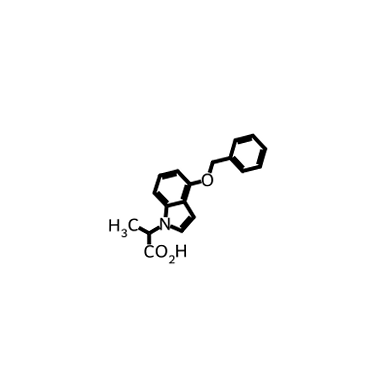 CC(C(=O)O)n1ccc2c(OCc3ccccc3)cccc21